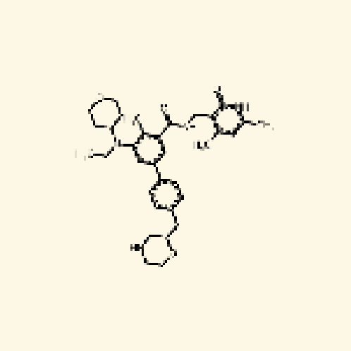 CCN(c1cc(-c2ccc(CC3CNCCO3)cc2)cc(C(=O)NCc2c(C)cc(C)[nH]c2=O)c1C)C1CCOCC1